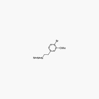 COc1cc(CCN=[N+]=[N-])ccc1Br